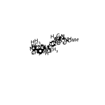 COC(=O)Nc1nc(C)c(S(=O)(=O)N2CCN(CC(C)Nc3ncnc4c(-c5c(C)n[nH]c5C)cccc34)CC2)s1.Cl